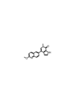 COc1ccc2cc(-c3cn(C)c(=O)c4[nH]ccc34)ccc2n1